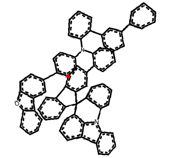 c1ccc(-c2cccc(-c3ccccc3N(c3ccc(-c4ccc5oc6ccccc6c5c4)cc3)c3ccccc3-c3ccc4c(c3)C3(c5ccccc5-4)c4ccccc4-n4c5ccccc5c5cccc3c54)c2)cc1